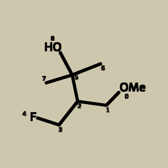 COCC(CF)C(C)(C)O